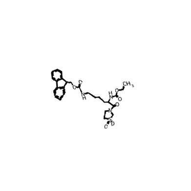 CCOC(=O)NC(CCCCNC(=O)OCC1c2ccccc2-c2ccccc21)C(=O)N1CCS(=O)(=O)C1